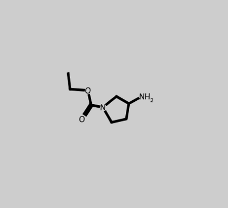 CCOC(=O)N1CCC(N)C1